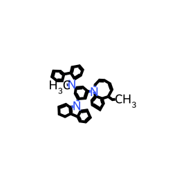 CCC1/C=C\C=C/CN(c2cc(N(C)c3ccccc3-c3ccccc3)cc(-n3c4c(c5ccccc53)CCC=C4)c2)c2ccccc21